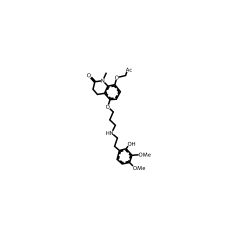 COc1ccc(CCNCCCOc2ccc(OCC(C)=O)c3c2CCC(=O)N3C)c(O)c1OC